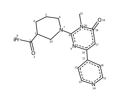 CC(C)C(=O)C1CCCN(c2nc(-c3ccncc3)cc(=O)n2C)C1